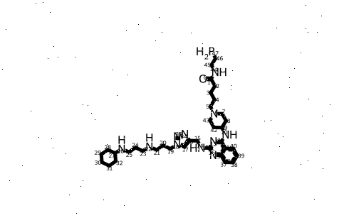 O=C(CCCCN1CCC(Nc2nc(NCc3cn(CCCNCCCNC4CCCCC4)nn3)nc3ccccc23)CC1)NCCP